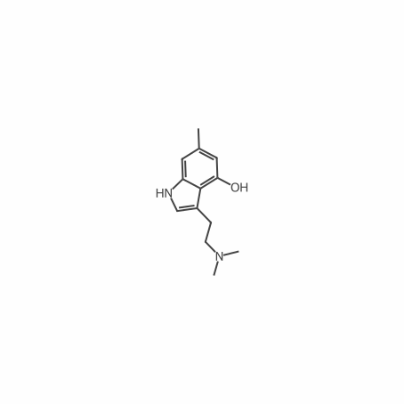 Cc1cc(O)c2c(CCN(C)C)c[nH]c2c1